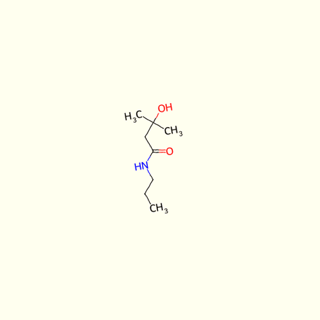 CCCNC(=O)CC(C)(C)O